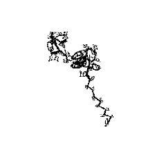 CCCCCCCCCCCC(=O)O[N+]1(S(=O)(=O)CCc2ccoc2[Si](CC)(CC)CC)CCN(C)CC1